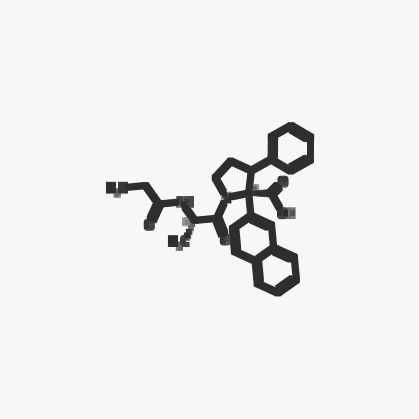 C[C@H](NC(=O)CN)C(=O)N1CCC(c2ccccc2)[C@]1(C(=O)O)c1ccc2ccccc2c1